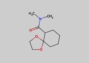 CN(C)C(=O)C1CCCCC12OCCO2